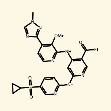 CCC(=O)c1cnc(Nc2ccc(S(=O)(=O)C3CC3)cn2)cc1Nc1nccc(-c2ncn(C)n2)c1OC